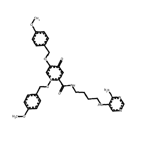 COc1ccc(COc2cn(OCc3ccc(OC)cc3)c(C(=O)NCCCCNc3cncnc3N)cc2=O)cc1